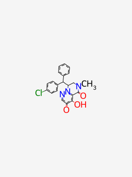 CN1CC(C(c2ccccc2)c2ccc(Cl)cc2)n2ncc(=O)c(O)c2C1=O